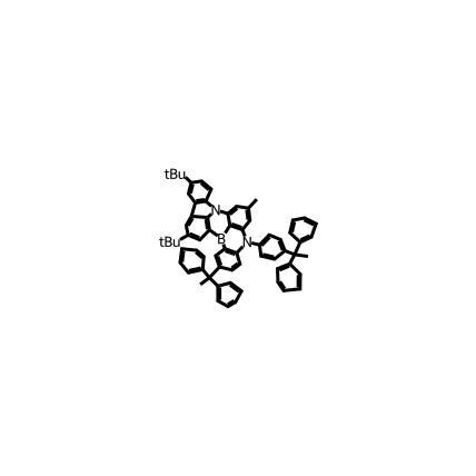 Cc1cc2c3c(c1)-n1c4ccc(C(C)(C)C)cc4c4cc(C(C)(C)C)cc(c41)B3c1cc(C(C)(c3ccccc3)c3ccccc3)ccc1N2c1ccc(C(C)(c2ccccc2)c2ccccc2)cc1